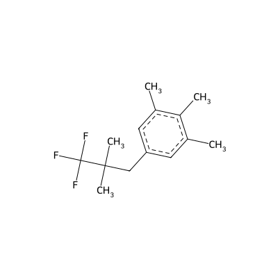 Cc1cc(CC(C)(C)C(F)(F)F)cc(C)c1C